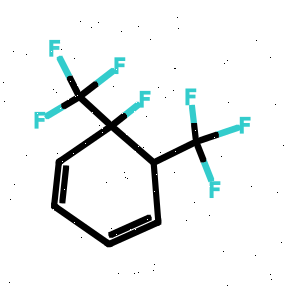 FC(F)(F)C1C=CC=CC1(F)C(F)(F)F